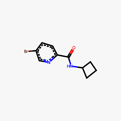 O=C(NC1CCC1)c1ccc(Br)cn1